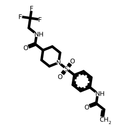 C=CC(=O)Nc1ccc(S(=O)(=O)N2CCC(C(=O)NCC(F)(F)F)CC2)cc1